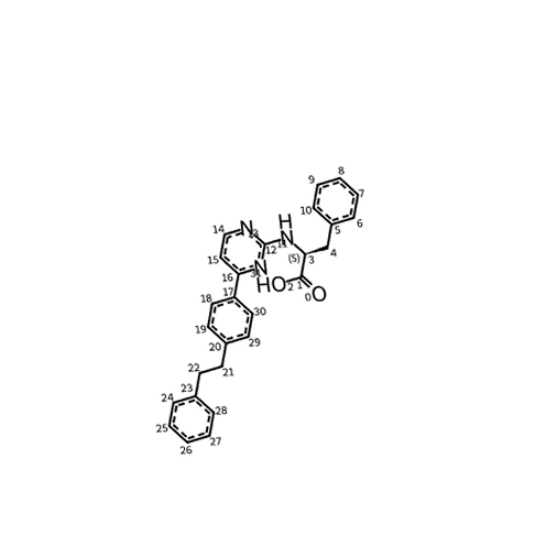 O=C(O)[C@H](Cc1ccccc1)Nc1nccc(-c2ccc(CCc3ccccc3)cc2)n1